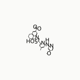 COC(=O)c1ccc2c(c1)CCCC2(O)c1ncc(-c2cc(C)cc(Nc3cc(OC)ccn3)n2)s1